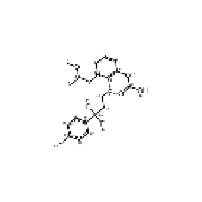 COC(C)CN1CC=CC(OC(=O)O)=C1SCCC(F)(F)c1ccc(F)cc1